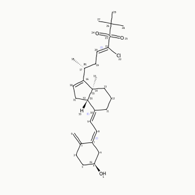 C=C1CC[C@H](O)C/C1=C/C=C1\CCC[C@]2(C)C([C@H](C)C/C=C(\Cl)S(=O)(=O)C(C)(C)C)=CC[C@@H]12